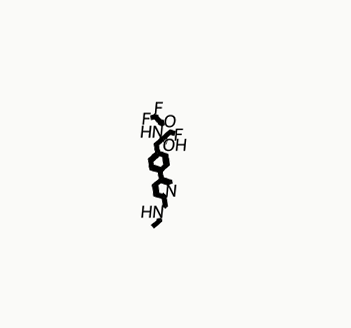 CCNCc1ccc(-c2ccc(C[C@@](O)(CF)NC(=O)C(F)F)cc2)cn1